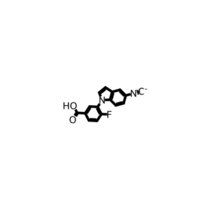 [C-]#[N+]c1ccc2c(ccn2-c2cc(C(=O)O)ccc2F)c1